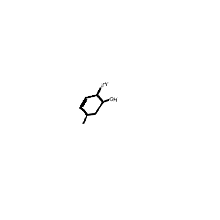 CC1C=CC(C(C)C)C(O)C1